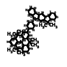 CC1(C)c2ccccc2-c2cc3c4ccccc4n(-c4ccc(-c5cc6c7c(c5)C(C)(C)c5cccc8c5N7c5c(cccc5C6(C)C)C8(C)C)cc4)c3cc21